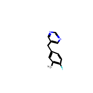 Cc1cc(Cc2cncnc2)ccc1F